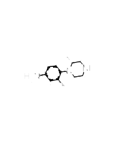 C[C@H]1CNCCN1c1ccc(N)cc1F